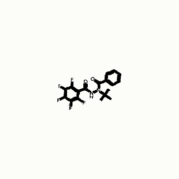 CC(C)(C)N(NC(=O)c1c(F)c(F)c(F)c(F)c1F)C(=O)c1ccccc1